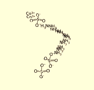 N.N.N.N.N.N.N.N.N.N.N.N.O=S(=O)([O-])[O-].O=S(=O)([O-])[O-].O=S(=O)([O-])[O-].[Co+3].[Co+3]